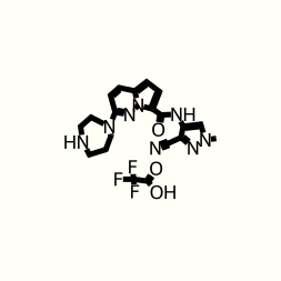 Cn1cc(NC(=O)c2ccc3ccc(N4CCCNCC4)nn23)c(C#N)n1.O=C(O)C(F)(F)F